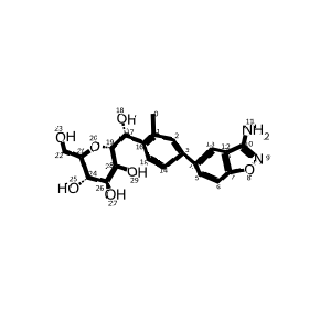 Cc1cc(-c2ccc3onc(N)c3c2)ccc1[C@@H](O)[C@H]1OC(CO)[C@@H](O)[C@H](O)C1O